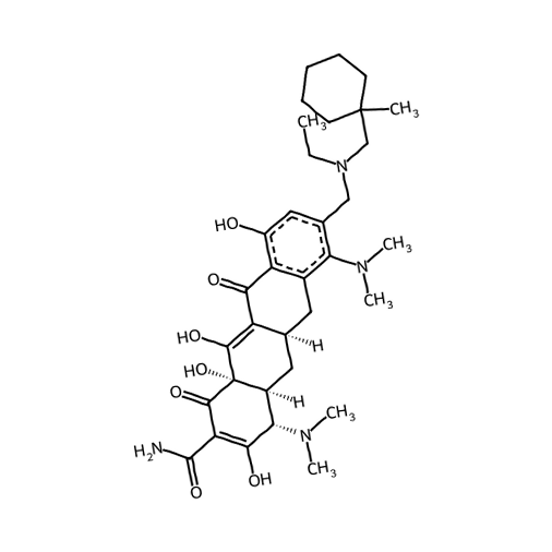 CCN(Cc1cc(O)c2c(c1N(C)C)C[C@H]1C[C@H]3[C@H](N(C)C)C(O)=C(C(N)=O)C(=O)[C@@]3(O)C(O)=C1C2=O)CC1(C)CCCCC1